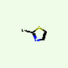 [Na][c]1nccs1